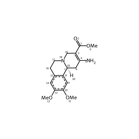 COC(=O)C1=C(N)C[C@H]2c3cc(OC)c(OC)cc3CCN2C1